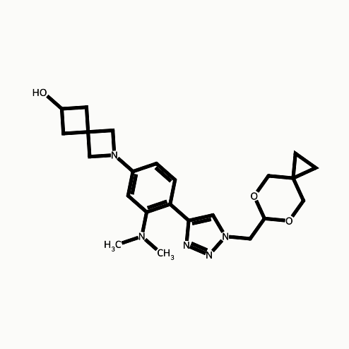 CN(C)c1cc(N2CC3(CC(O)C3)C2)ccc1-c1cn(CC2OCC3(CC3)CO2)nn1